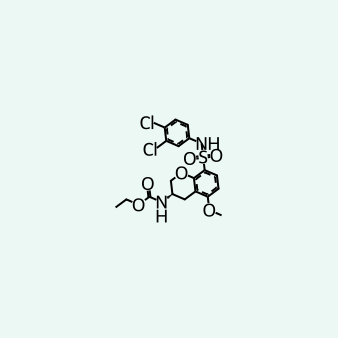 CCOC(=O)N[C@H]1COc2c(S(=O)(=O)Nc3ccc(Cl)c(Cl)c3)ccc(OC)c2C1